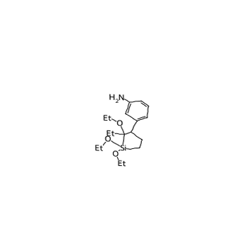 CCOC1(CC)C(c2cccc(N)c2)CCC[Si]1(OCC)OCC